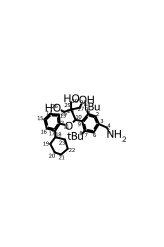 CC(C)(C)c1cc(CN)cc(C(C)(C)C)c1C(Oc1ccccc1C1CCCCC1)C(CO)(CO)CO